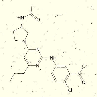 CCCc1cc(N2CCC(NC(C)=O)C2)nc(Nc2ccc(Cl)c([N+](=O)[O-])c2)n1